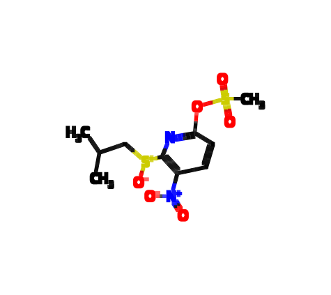 CC(C)C[S+]([O-])c1nc(OS(C)(=O)=O)ccc1[N+](=O)[O-]